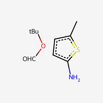 CC(C)(C)OC=O.Cc1ccc(N)s1